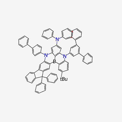 CC(C)(C)c1ccc2c(c1)B1c3cc4c(cc3N(c3ccc(-c5ccccc5)cc3)c3cc(N(c5ccccc5)c5ccccc5)cc(c31)N2c1cc(-c2ccccc2)cc(-c2ccccc2)c1)-c1ccccc1C4(c1ccccc1)c1ccccc1